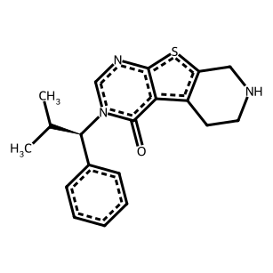 CC(C)[C@H](c1ccccc1)n1cnc2sc3c(c2c1=O)CCNC3